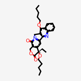 CCCCCOc1c2c(nc3ccccc13)-c1cc3c(c(=O)n1C2)COC(=O)[C@@]3(CC)OCCCCC